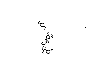 COc1ccc(COCCOc2ccc(C(=O)NCC(=O)c3ccc(OC)c(-c4ccc(F)c(Cl)c4)n3)cc2OC)cc1